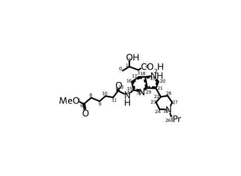 CC(O)CC(=O)O.COC(=O)CCCCC(=O)Nc1ccc2[nH]cc(C3CCN(C(C)C)CC3)c2n1